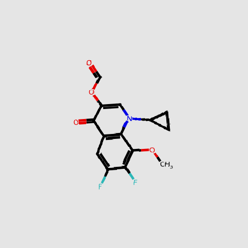 COc1c(F)c(F)cc2c(=O)c(OC=O)cn(C3CC3)c12